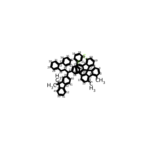 Cc1cccc2c1-c1c(C)ccc(-c3cc(-c4ccccc4)cc(C(CCc4ccccc4-c4ccccc4)c4ccc5c(c4)C(C)(C)c4ccccc4-5)c3)c1C21c2cccc(F)c2-c2c(F)cccc21